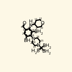 Bc1cc(C=O)c(NC2CCOCC2)c(B)c1N1CCN(C(B)(B)B)CC1